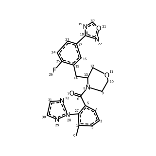 Cc1cccc(C(=O)N2CCOCC2Cc2cc(-c3ncon3)ccc2F)c1-n1nccn1